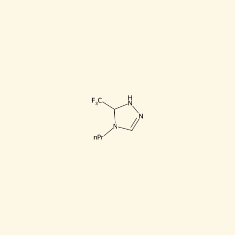 CCCN1C=NNC1C(F)(F)F